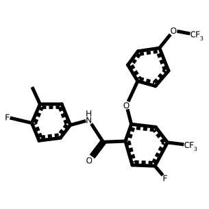 Cc1cc(NC(=O)c2cc(F)c(C(F)(F)F)cc2Oc2ccc(OC(F)(F)F)cc2)ccc1F